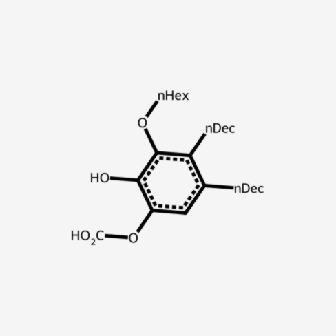 CCCCCCCCCCc1cc(OC(=O)O)c(O)c(OCCCCCC)c1CCCCCCCCCC